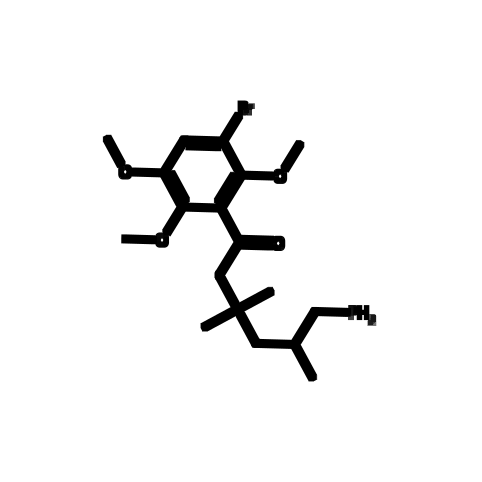 COc1cc(Br)c(OC)c(C(=O)CC(C)(C)CC(C)CP)c1OC